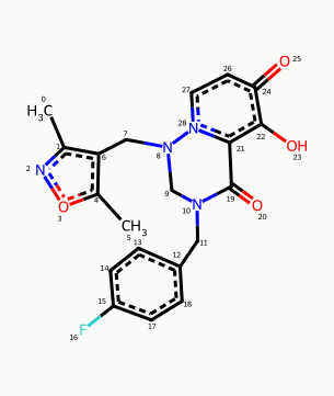 Cc1noc(C)c1CN1CN(Cc2ccc(F)cc2)C(=O)c2c(O)c(=O)ccn21